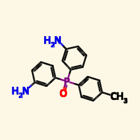 Cc1ccc(P(=O)(c2cccc(N)c2)c2cccc(N)c2)cc1